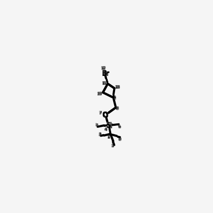 CC(C)(C)[Si](C)(C)OCC1CC(Br)C1